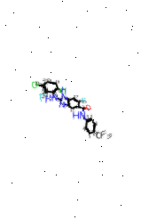 O=C(Nc1ccc(C(F)(F)F)cc1)c1cc2nc(Nc3c(Cl)ccc(Cl)c3F)[nH]c2cc1F